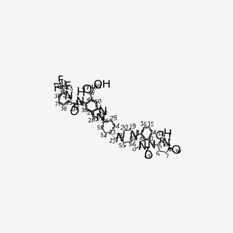 Cn1c(=O)n(C2CCC(=O)NC2=O)c2cccc(N3CCN(C[C@H]4CC[C@H](n5cc6cc(NC(=O)c7cccc(C(F)(F)F)n7)c(C7OC7O)cc6n5)CC4)CC3)c21